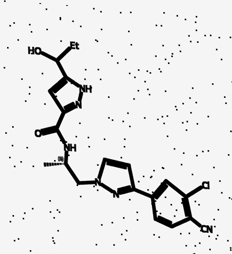 CCC(O)c1cc(C(=O)N[C@@H](C)Cn2ccc(-c3ccc(C#N)c(Cl)c3)n2)n[nH]1